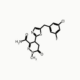 CN1N=C(C(N)=O)C(c2ncc(Cc3cc(F)cc(Cl)c3)s2)CC1=O